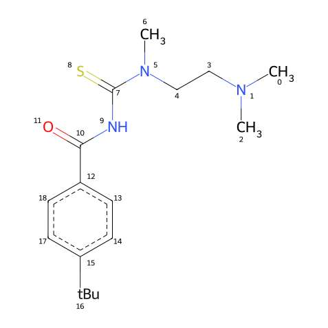 CN(C)CCN(C)C(=S)NC(=O)c1ccc(C(C)(C)C)cc1